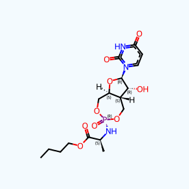 CCCCOC(=O)[C@H](C)N[P@@]1(=O)OC[C@H]2[C@@H](O)[C@H](n3ccc(=O)[nH]c3=O)O[C@@H]2CO1